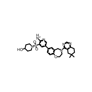 CC1(C)CCc2ncnc(N3CCOc4ccc(-c5cnc(N)c(S(=O)(=O)N6CCC(O)CC6)c5)cc4C3)c2C1